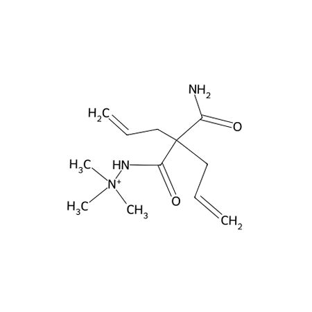 C=CCC(CC=C)(C(N)=O)C(=O)N[N+](C)(C)C